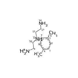 Cc1ccc(C)cc1.NCCNCCN